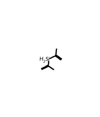 C=C(C)[SiH2]C(=C)C